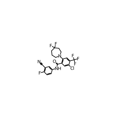 N#Cc1cc(NC(=O)c2cc(Cl)c(C(F)(F)F)cc2N2CCCC(F)(F)CC2)ccc1F